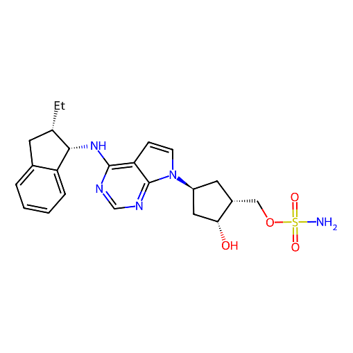 CC[C@H]1Cc2ccccc2[C@H]1Nc1ncnc2c1ccn2[C@H]1C[C@H](COS(N)(=O)=O)[C@H](O)C1